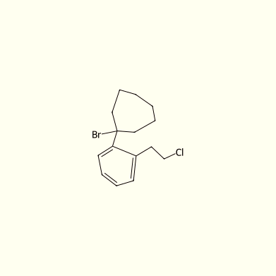 ClCCc1ccccc1C1(Br)CCCCCC1